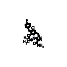 CN(C)/C=N/c1c(C(N)=O)nnn1Cc1cc(Cl)c(Cc2ccc(F)cc2)c(Cl)c1